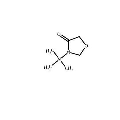 C[Si](C)(C)N1COCC1=O